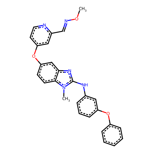 CO/N=C/c1cc(Oc2ccc3c(c2)nc(Nc2cccc(Oc4ccccc4)c2)n3C)ccn1